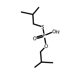 CC(C)COP(=O)(O)SCC(C)C